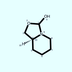 OC1OC[C@@H]2CCCCN12